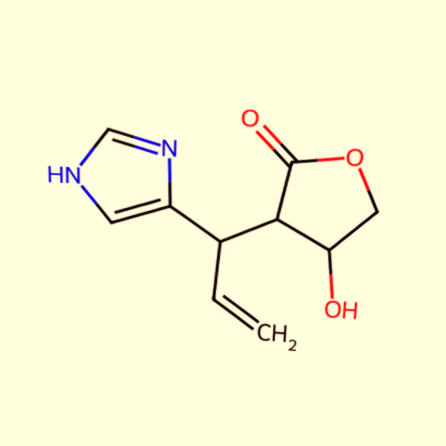 C=CC(c1c[nH]cn1)C1C(=O)OCC1O